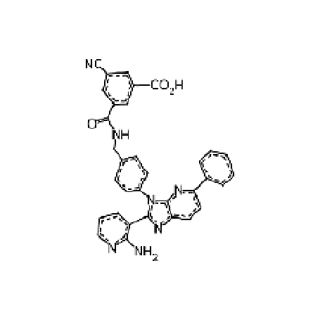 N#Cc1cc(C(=O)O)cc(C(=O)NCc2ccc(-n3c(-c4cccnc4N)nc4ccc(-c5ccccc5)nc43)cc2)c1